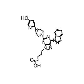 O=C(O)CCCCn1cnc2c(-n3ncc4ccccc43)nc(N3CCN(c4ccc(O)cn4)CC3)nc21